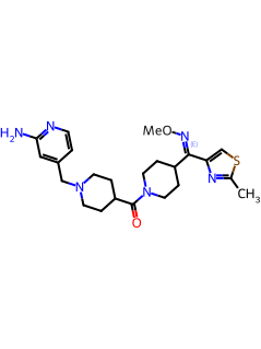 CO/N=C(/c1csc(C)n1)C1CCN(C(=O)C2CCN(Cc3ccnc(N)c3)CC2)CC1